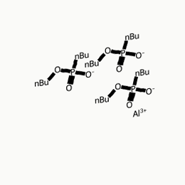 CCCCOP(=O)([O-])CCCC.CCCCOP(=O)([O-])CCCC.CCCCOP(=O)([O-])CCCC.[Al+3]